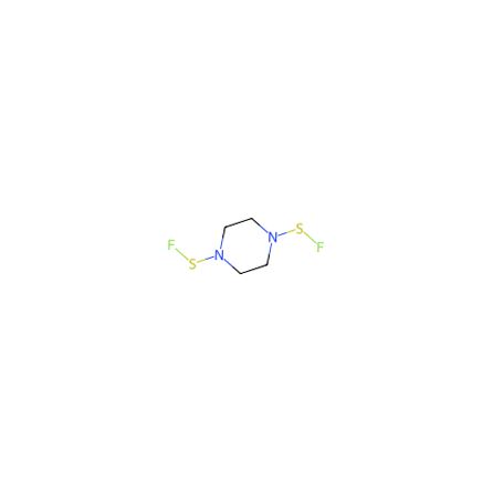 FSN1CCN(SF)CC1